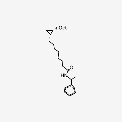 CCCCCCCC[C@H]1C[C@H]1CCCCCCCC(=O)NC(C)c1ccccc1